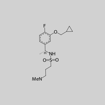 CNCCCS(=O)(=O)N[C@H](C)c1ccc(F)c(OCC2CC2)c1